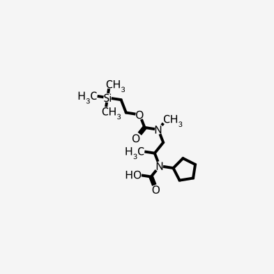 CC(CN(C)C(=O)OCC[Si](C)(C)C)N(C(=O)O)C1CCCC1